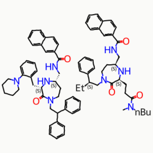 CCCCN(C)C(=O)CC[C@@H]1N[C@H](CNC(=O)c2ccc3ccccc3c2)CCN(C[C@@H](CC)c2ccccc2)C1=O.O=C(NC[C@@H]1CCN(CC(c2ccccc2)c2ccccc2)C(=O)[C@H](Cc2ccccc2N2CCCCC2)N1)c1ccc2ccccc2c1